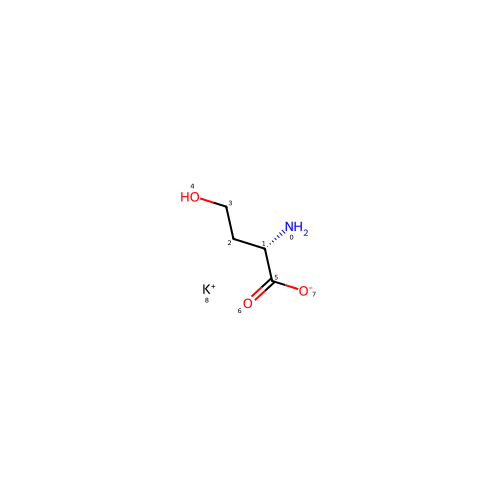 N[C@@H](CCO)C(=O)[O-].[K+]